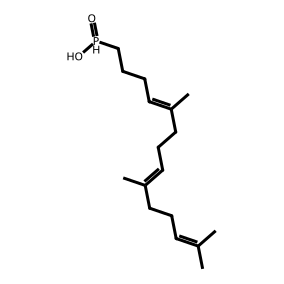 CC(C)=CCCC(C)=CCCC(C)=CCCC[PH](=O)O